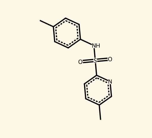 Cc1ccc(NS(=O)(=O)c2ccc(C)cn2)cc1